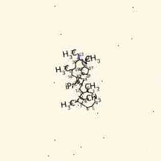 C=C1CCCCCC2C(C)=C(C1CC1(C(CCC(C)CC/C(=C\C)N(C)C3CCCC3)C(C)C)CCC1)C2C